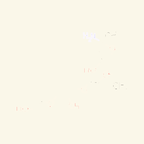 CC(N)(CCO)OCCC(C)(F)OCCOCC(O)COCCO